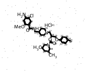 COc1cc(N)c(Cl)cc1C(=O)NCC1CCN(CC(COc2ccc(F)cc2)OC(=O)N2CC(C)CC(C)C2)CC1.Cl